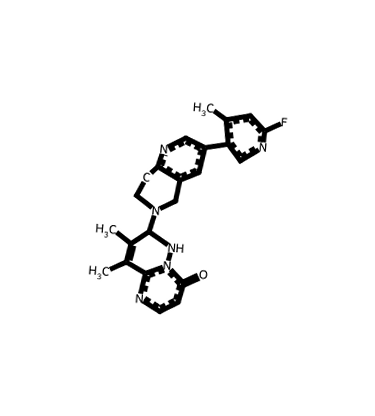 CC1=C(C)C(N2CCc3ncc(-c4cnc(F)cc4C)cc3C2)Nn2c1nccc2=O